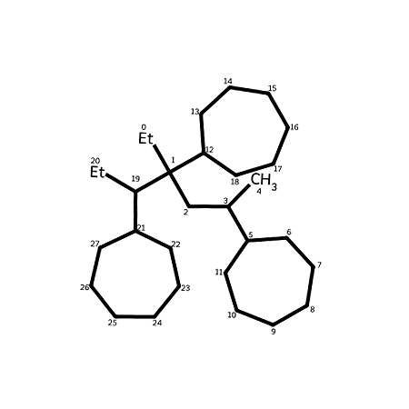 [CH2]CC(CC(C)C1CCCCCC1)(C1CCCCCC1)C(CC)C1CCCCCC1